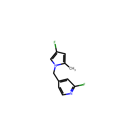 Cc1cc(F)cn1Cc1ccnc(F)c1